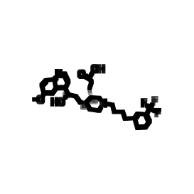 COc1ccc2nccc([C@H](O)CC[C@@H]3CCN(CCCCc4cccc(C(F)(F)F)c4)C[C@H]3CCC(=O)O)c2c1